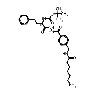 CC(C)(C)OC(=O)N[C@H](CCc1ccccc1)C(=O)NNC(=O)c1ccc(CNC(=O)CCCCCN)cc1